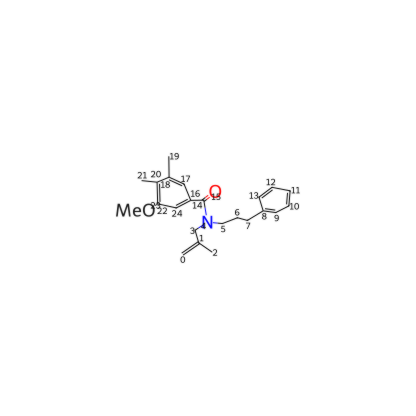 C=C(C)CN(CCCc1ccccc1)C(=O)c1cc(C)c(C)c(OC)c1